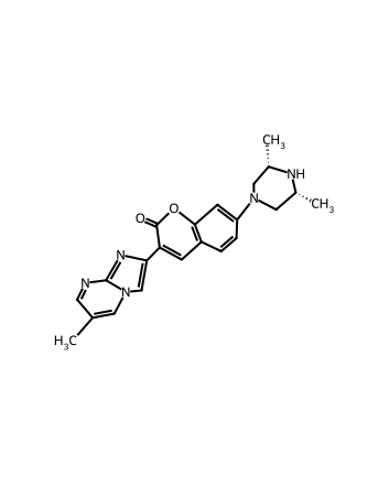 Cc1cnc2nc(-c3cc4ccc(N5C[C@@H](C)N[C@@H](C)C5)cc4oc3=O)cn2c1